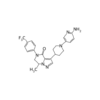 CC1CN(c2ccc(C(F)(F)F)cc2)C(=O)c2c(C3CCN(c4ccc(N)nc4)CC3)cnn21